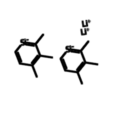 Cc1cc[si-]c(C)c1C.Cc1cc[si-]c(C)c1C.[Li+].[Li+]